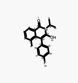 Cc1cccc2c(=O)n(C(C)C)c(O)c(-c3ccc(F)cc3)c12